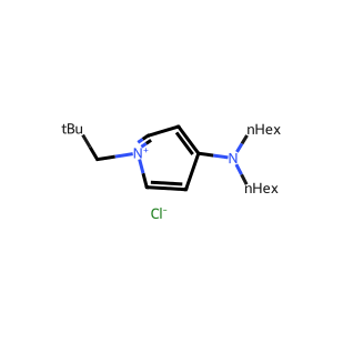 CCCCCCN(CCCCCC)c1cc[n+](CC(C)(C)C)cc1.[Cl-]